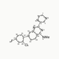 CNc1nc(-c2cnccn2)nc2cc(-c3ccc(F)cc3Cl)ccc12